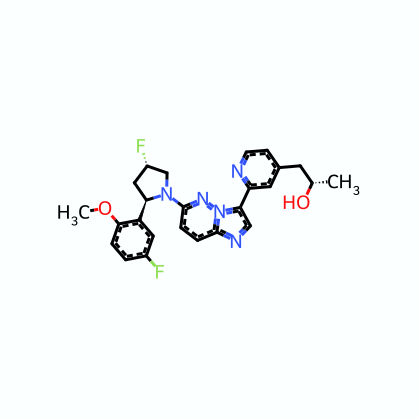 COc1ccc(F)cc1[C@H]1C[C@H](F)CN1c1ccc2ncc(-c3cc(C[C@H](C)O)ccn3)n2n1